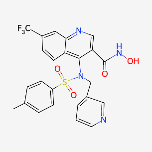 Cc1ccc(S(=O)(=O)N(Cc2cccnc2)c2c(C(=O)NO)cnc3cc(C(F)(F)F)ccc23)cc1